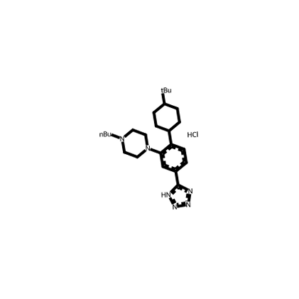 CCCCN1CCN(c2cc(-c3nnn[nH]3)ccc2C2CCC(C(C)(C)C)CC2)CC1.Cl